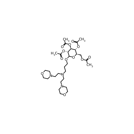 CC(=O)OC[C@H]1OC(OCCCN(CCN2CCOCC2)CCN2CCOCC2)[C@H](OC(C)=O)[C@@H](OC(C)=O)[C@@H]1OC(C)=O